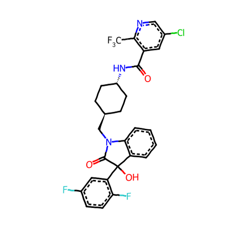 O=C(N[C@H]1CC[C@H](CN2C(=O)C(O)(c3cc(F)ccc3F)c3ccccc32)CC1)c1cc(Cl)cnc1C(F)(F)F